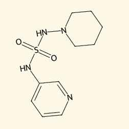 O=S(=O)(Nc1cccnc1)NN1CCCCC1